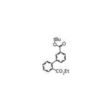 CCOC(=O)c1ccccc1-c1cccc(C(=O)OC(C)(C)C)c1